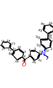 CN(c1ccc(C(=O)c2ccc(-c3ccccc3)cc2)cc1)c1ccc(-c2ccccc2)cc1